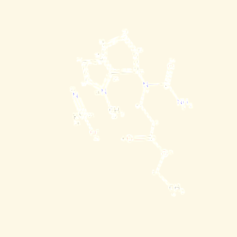 CCOC(=O)CCN(C(N)=O)c1cccc2ccn(C)c12.N#C[O-].[K+]